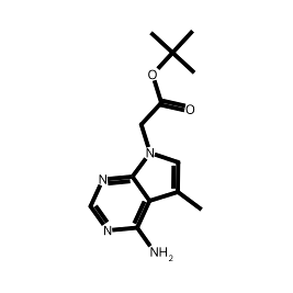 Cc1cn(CC(=O)OC(C)(C)C)c2ncnc(N)c12